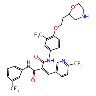 O=C(Nc1cccc(C(F)(F)F)c1)/C(=C/c1ccc(C(F)(F)F)nc1)C(=O)Nc1ccc(OCCC2CNCCO2)c(C(F)(F)F)c1